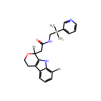 CCc1cccc2c3c([nH]c12)C(CC)(CC(=O)NC[Si](C)(C)c1cccnc1)OCC3